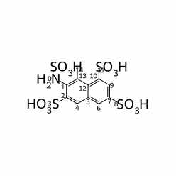 Nc1c(S(=O)(=O)O)cc2cc(S(=O)(=O)O)cc(S(=O)(=O)O)c2c1S(=O)(=O)O